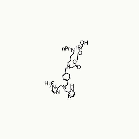 CCCN(CCC)CCCCN(CC(=O)OCCOCCO)Cc1ccc(CN(Cc2ncc[nH]2)Cc2nccn2C)cc1